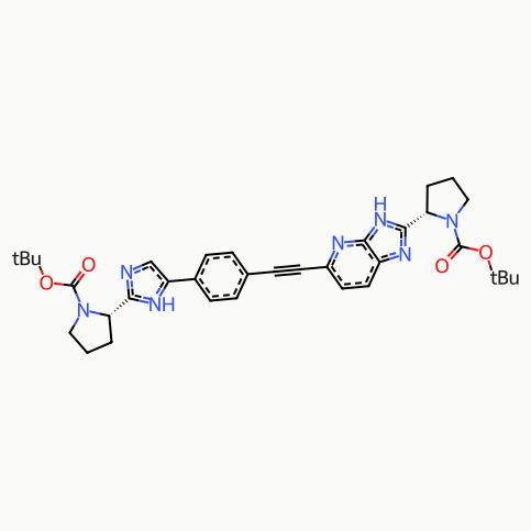 CC(C)(C)OC(=O)N1CCC[C@H]1c1ncc(-c2ccc(C#Cc3ccc4nc([C@@H]5CCCN5C(=O)OC(C)(C)C)[nH]c4n3)cc2)[nH]1